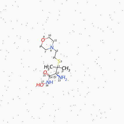 CC(C)(SCCN1CCOCC1)[C@@H](N)C(=O)NO